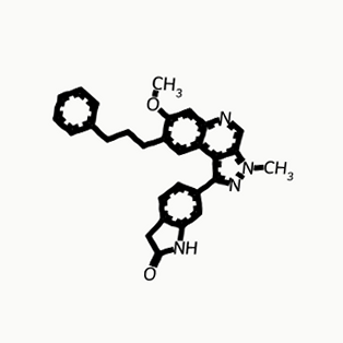 COc1cc2ncc3c(c(-c4ccc5c(c4)NC(=O)C5)nn3C)c2cc1CCCc1ccccc1